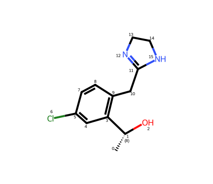 C[C@@H](O)c1cc(Cl)ccc1CC1=NCCN1